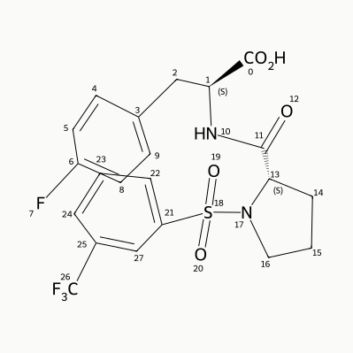 O=C(O)[C@H](Cc1ccc(F)cc1)NC(=O)[C@@H]1CCCN1S(=O)(=O)c1cccc(C(F)(F)F)c1